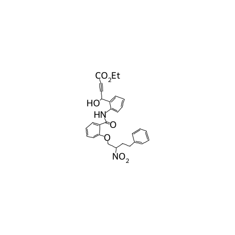 CCOC(=O)C#CC(O)c1ccccc1NC(=O)c1ccccc1OCC(CCc1ccccc1)[N+](=O)[O-]